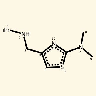 CC(C)NCc1csc(N(C)C)n1